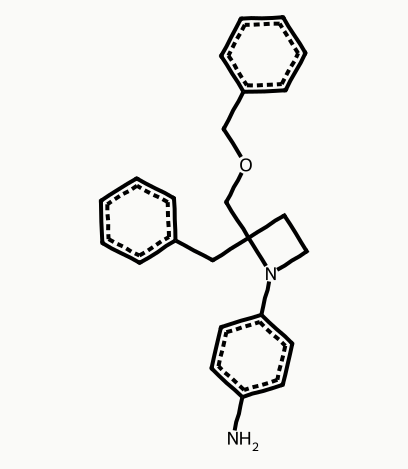 Nc1ccc(N2CCC2(COCc2ccccc2)Cc2ccccc2)cc1